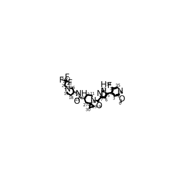 COc1cc(-c2cc(C(=O)N3CC[C@@H](C(=O)N[C@@H]4CCN(CC(F)(F)F)C4)CC34CC4)n[nH]2)c(F)cn1